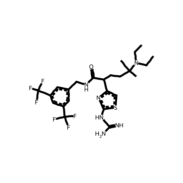 CCN(CC)C(C)(C)CCC(C(=O)NCc1cc(C(F)(F)F)cc(C(F)(F)F)c1)c1csc(NC(=N)N)n1